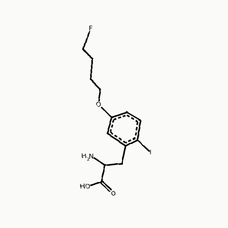 NC(Cc1cc(OCCCCF)ccc1I)C(=O)O